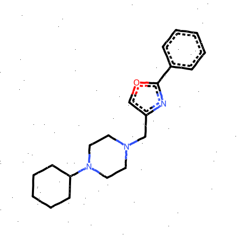 c1ccc(-c2nc(CN3CCN(C4CCCCC4)CC3)co2)cc1